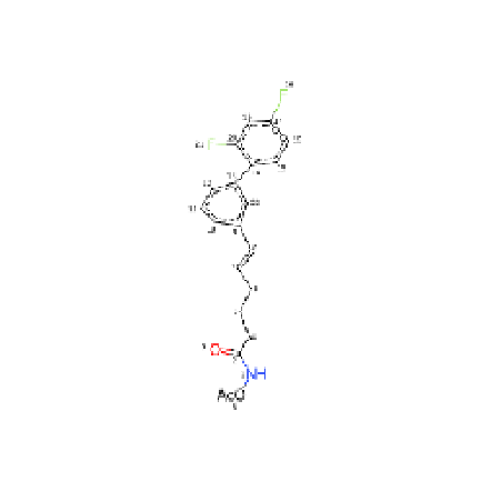 CC(=O)ONC(=O)CCCC=Cc1cccc(-c2ccc(F)cc2F)c1